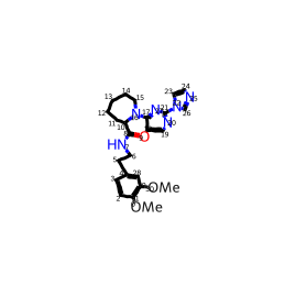 COc1ccc(CCNC(=O)C2CCCCCN2c2ccnc(-n3ccnc3)n2)cc1OC